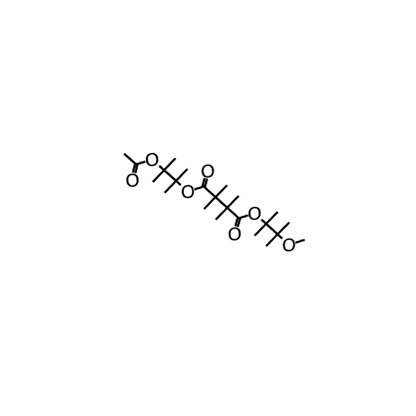 COC(C)(C)C(C)(C)OC(=O)C(C)(C)C(C)(C)C(=O)OC(C)(C)C(C)(C)OC(C)=O